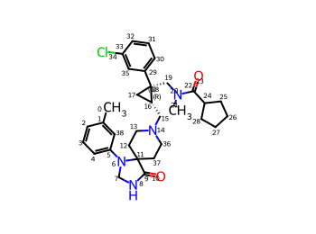 Cc1cccc(N2CNC(=O)C23CCN(C[C@@H]2C[C@@]2(CN(C)C(=O)C2CCCC2)c2cccc(Cl)c2)CC3)c1